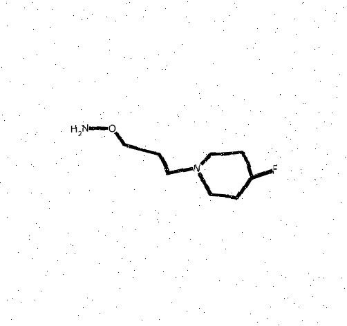 NOCCCN1CCC(F)CC1